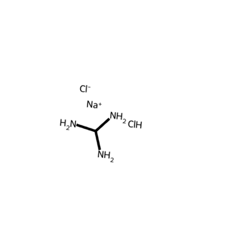 Cl.NC(N)N.[Cl-].[Na+]